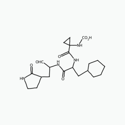 O=CC(CC1CCNC1=O)NC(=O)C(CC1CCCCC1)NC(=O)C1(NC(=O)O)CC1